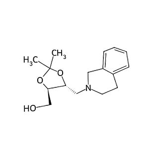 CC1(C)O[C@H](CO)[C@@H](CN2CCc3ccccc3C2)O1